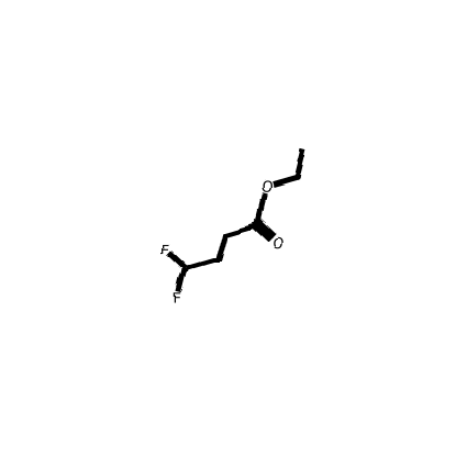 CCOC(=O)CCC(F)F